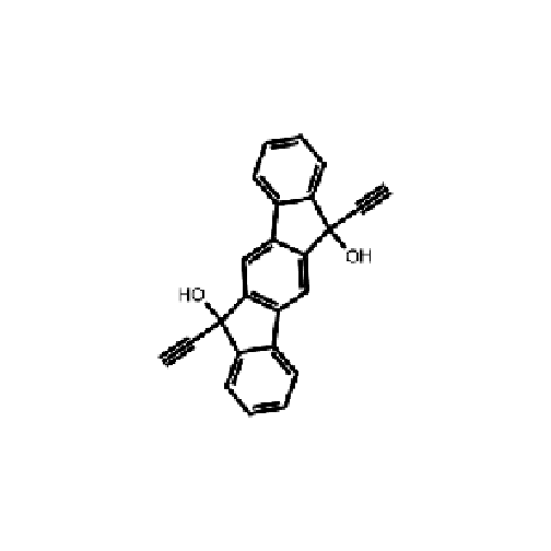 C#CC1(O)c2ccccc2-c2cc3c(cc21)-c1ccccc1C3(O)C#C